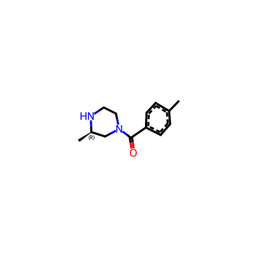 Cc1ccc(C(=O)N2CCN[C@H](C)C2)cc1